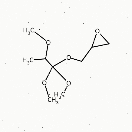 COC(C)C(OC)(OC)OCC1CO1